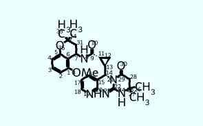 COc1cccc2c1C(NC(=O)[C@@H]1C[C@H]1[C@@H](c1cccnc1)N1C(=N)NC(C)(C)CC1=O)CC(C)(C)O2